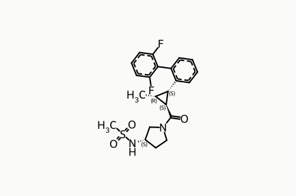 C[C@H]1[C@H](C(=O)N2CC[C@H](NS(C)(=O)=O)C2)[C@H]1c1ccccc1-c1c(F)cccc1F